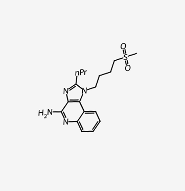 CCCc1nc2c(N)nc3ccccc3c2n1CCCCS(C)(=O)=O